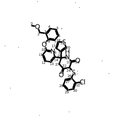 COCc1ccccc1Oc1cccc(C2(c3ccsc3)CC(=O)C(Sc3ccccc3Cl)C(=O)N2)n1